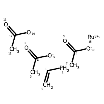 C=CP.CC(=O)[O-].CC(=O)[O-].CC(=O)[O-].[Ru+3]